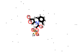 Cc1cccc(C)c1N(C(=O)COS(C)(=O)=O)C1COC(=O)C1